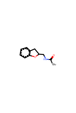 CC(C)(C)C(=O)NCC1Cc2ccccc2O1